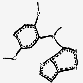 COc1ccc(OC)c(N(C)c2ncnc3ccsc23)c1